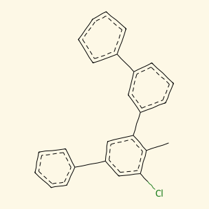 Cc1c(Cl)cc(-c2ccccc2)cc1-c1cccc(-c2ccccc2)c1